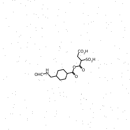 O=CNCC1CCC(C(=O)OC(=O)C(CC(=O)O)S(=O)(=O)O)CC1